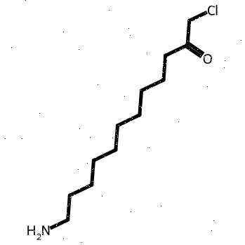 NCCCCCCCCCCC(=O)CCl